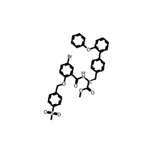 COC(=O)[C@H](Cc1ccc(-c2ccccc2Oc2ccccc2)cc1)NC(=O)c1cc(Br)ccc1OCc1ccc(S(C)(=O)=O)cc1